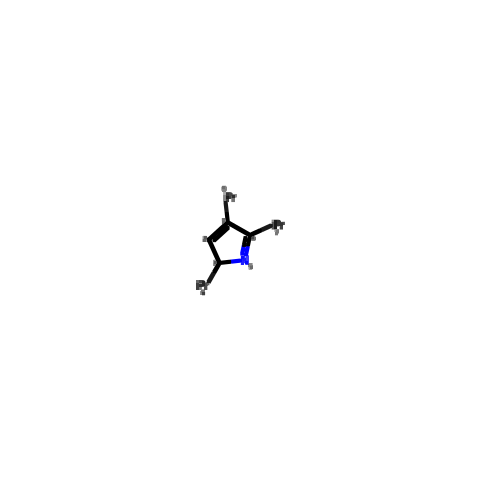 CC(C)C1=CC(C(C)C)N=C1C(C)C